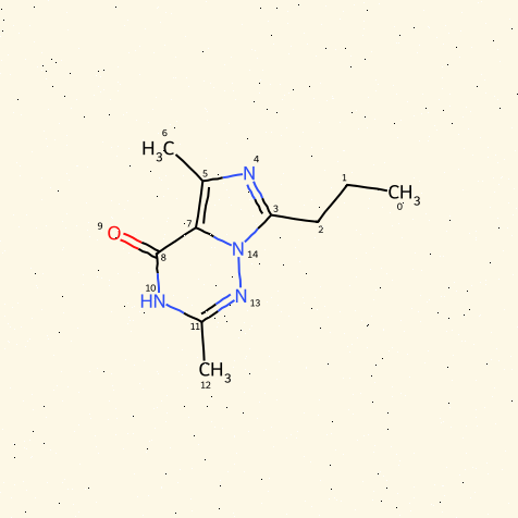 CCCc1nc(C)c2c(=O)[nH]c(C)nn12